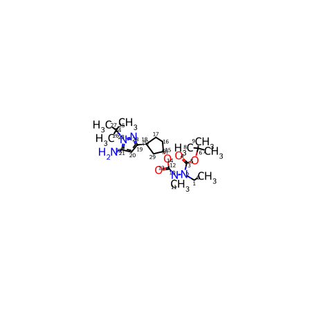 CCN(C(=O)OC(C)(C)C)N(C)C(=O)O[C@@H]1CC[C@H](c2cc(N)n(C(C)(C)C)n2)C1